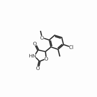 COc1ccc(Cl)c(C)c1C1OC(=O)NC1=O